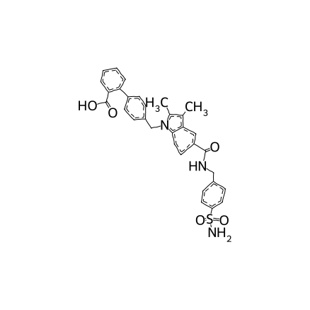 Cc1c(C)n(Cc2ccc(-c3ccccc3C(=O)O)cc2)c2ccc(C(=O)NCc3ccc(S(N)(=O)=O)cc3)cc12